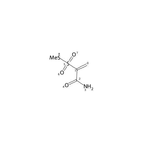 C=C(C(N)=O)S(=O)(=O)SC